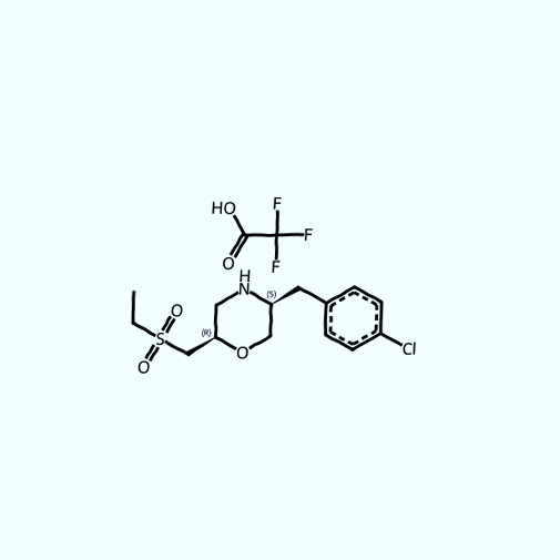 CCS(=O)(=O)C[C@H]1CN[C@@H](Cc2ccc(Cl)cc2)CO1.O=C(O)C(F)(F)F